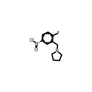 O=[N+]([O-])c1ccc(F)c(CN2CCCC2)c1